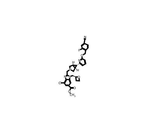 COC(=O)c1cc(Cl)c2nc(CN3C[C@@H]4[C@H](C3)[C@H]4c3cccc(OCc4ccc(C#N)cc4F)n3)n(C[C@@H]3CCO3)c2c1